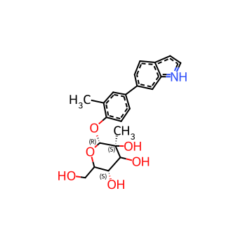 Cc1cc(-c2ccc3cc[nH]c3c2)ccc1O[C@H]1OC(CO)[C@@H](O)C(O)[C@]1(C)O